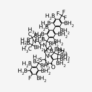 Bc1c(B)c(C(B)(B)Sc2nc(=O)c3c(n2CC(=O)N(CCN(C(B)(B)C)C(B)(B)C)C(B)(B)c2c(B)c(B)c(-c4c(B)c(B)c(C(F)(F)F)c(B)c4B)c(B)c2B)C(B)(B)C(B)(B)C3(B)B)c(B)c(B)c1F